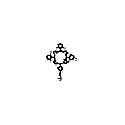 C[Si](C)(C)C#Cc1ccc(-c2c3nc(c(-c4c(F)cccc4F)c4ccc([nH]4)c(-c4c(F)cccc4F)c4nc(c(-c5c(F)cccc5F)c5ccc2[nH]5)C=C4)C=C3)cc1.[Zn]